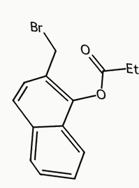 CCC(=O)Oc1c(CBr)ccc2ccccc12